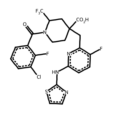 O=C(c1cccc(Cl)c1F)N1CCC(Cc2nc(Nc3nccs3)ccc2F)(C(=O)O)CC1C(F)(F)F